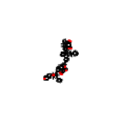 c1ccc(-c2nc(-c3ccc4c(c3)C3(c5ccc(-c6ccc(-c7nc(-c8ccccc8)nc(-c8ccc9c(c8)C8(c%10ccccc%10O9)c9ccccc9-c9ccccc98)n7)c(-c7ccccc7)c6)cc5O4)c4ccccc4-c4ccccc43)nc(-c3ccc4ccccc4c3)n2)cc1